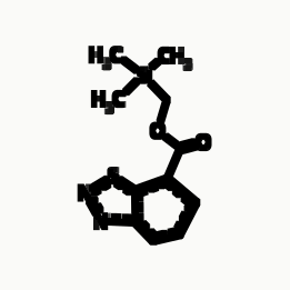 C[Si](C)(C)COC(=O)c1cccc2nnsc12